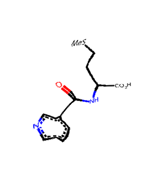 CSCCC(NC(=O)c1cccnc1)C(=O)O